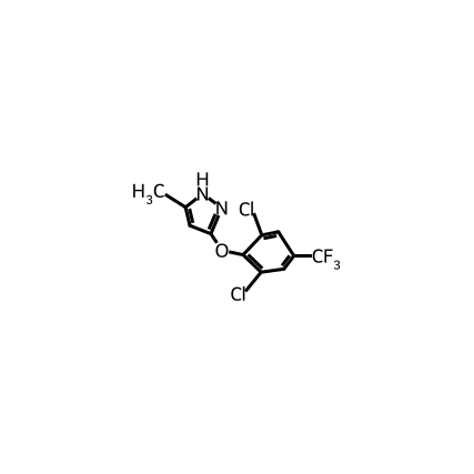 Cc1cc(Oc2c(Cl)cc(C(F)(F)F)cc2Cl)n[nH]1